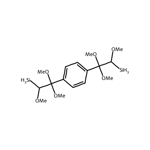 COC([SiH3])C(OC)(OC)c1ccc(C(OC)(OC)C([SiH3])OC)cc1